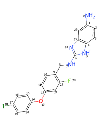 Nc1ccc2[nH]c(NCc3ccc(Oc4ccc(Cl)cc4)cc3F)nc2c1